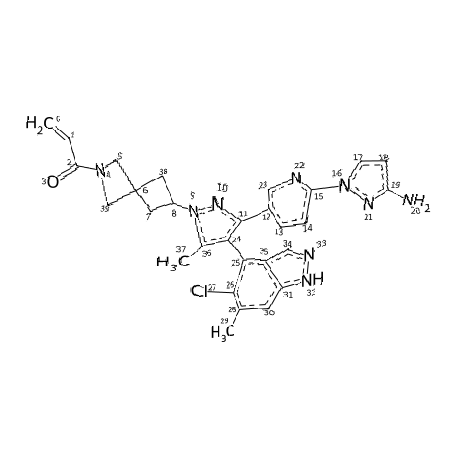 C=CC(=O)N1CC2(CC(n3nc(-c4ccc(-n5ccc(N)n5)nc4)c(-c4c(Cl)c(C)cc5[nH]ncc45)c3C)C2)C1